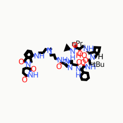 CCC[C@H](NC(O)[C@@H]1C2CCC[C@H]2CN1C(=O)[C@@H](NC(=O)[C@@H](NC(=O)c1cnc(C(=O)NCCCN(C)CCCNc2cccc3c2CN(C2CCC(=O)NC2=O)C3=O)cn1)C1CCCCC1)C(C)(C)C)C(=O)C(=O)NC1CC1